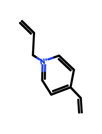 C=CC[n+]1ccc(C=C)cc1